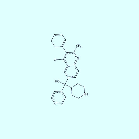 OC(c1cccnc1)(c1ccc2nc(C(F)(F)F)c(C3=CC=CCC3)c(Cl)c2c1)C1CCNCC1